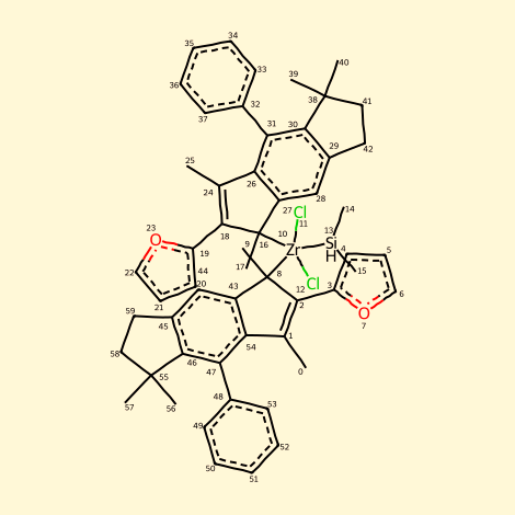 CC1=C(c2ccco2)[C](C)([Zr]([Cl])([Cl])([SiH](C)C)[C]2(C)C(c3ccco3)=C(C)c3c2cc2c(c3-c3ccccc3)C(C)(C)CC2)c2cc3c(c(-c4ccccc4)c21)C(C)(C)CC3